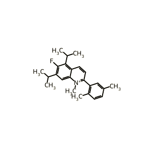 Cc1ccc(C)c(-c2ccc3c(C(C)C)c(F)c(C(C)C)cc3[n+]2C)c1